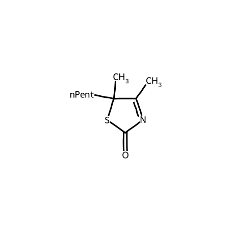 CCCCCC1(C)SC(=O)N=C1C